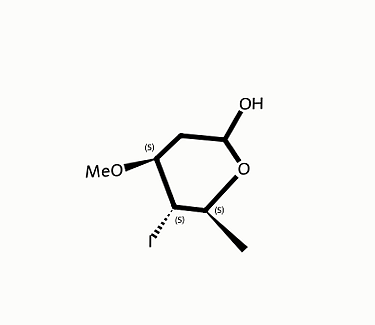 CO[C@H]1CC(O)O[C@@H](C)[C@@H]1I